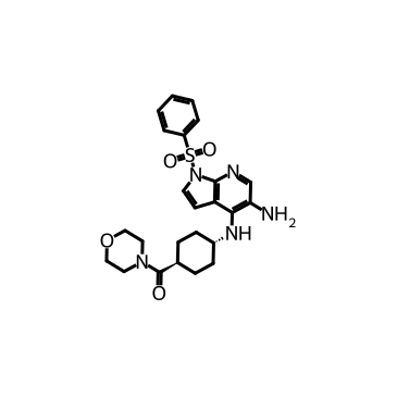 Nc1cnc2c(ccn2S(=O)(=O)c2ccccc2)c1N[C@H]1CC[C@H](C(=O)N2CCOCC2)CC1